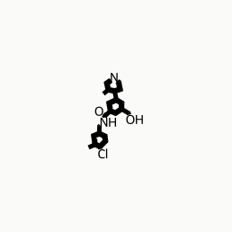 Cc1cc(CNC(=O)c2cc(CO)cc(-c3ccncc3C)c2)ccc1Cl